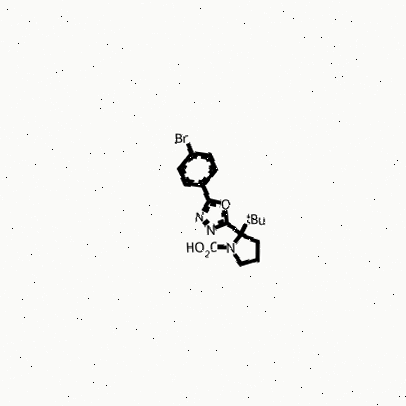 CC(C)(C)C1(c2nnc(-c3ccc(Br)cc3)o2)CCCN1C(=O)O